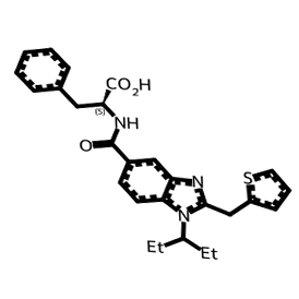 CCC(CC)n1c(Cc2cccs2)nc2cc(C(=O)N[C@@H](Cc3ccccc3)C(=O)O)ccc21